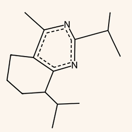 Cc1nc(C(C)C)nc2c1CCCC2C(C)C